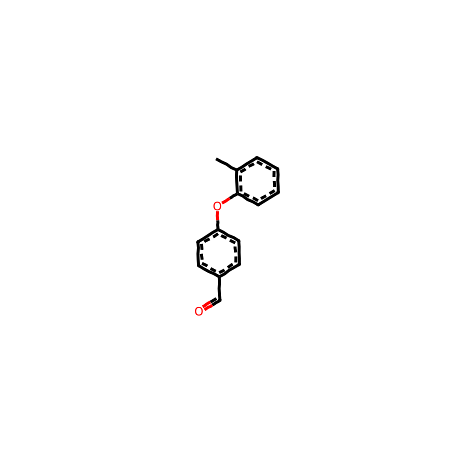 Cc1ccccc1Oc1ccc(C=O)cc1